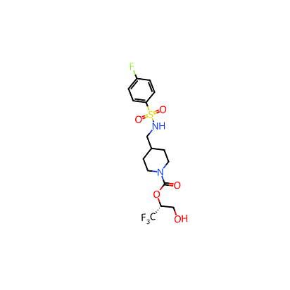 O=C(O[C@H](CO)C(F)(F)F)N1CCC(CNS(=O)(=O)c2ccc(F)cc2)CC1